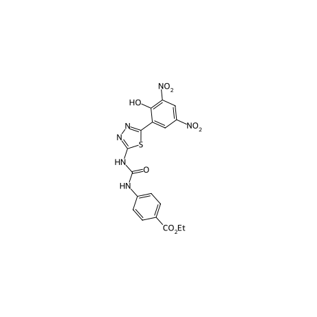 CCOC(=O)c1ccc(NC(=O)Nc2nnc(-c3cc([N+](=O)[O-])cc([N+](=O)[O-])c3O)s2)cc1